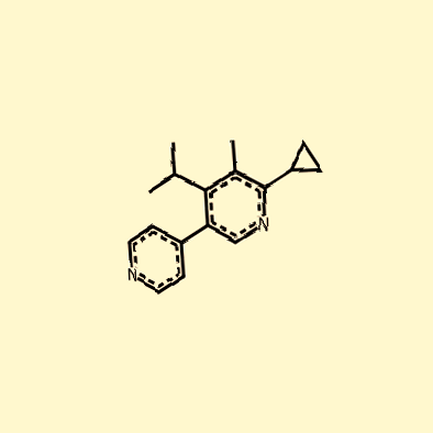 Cc1c(C2CC2)ncc(-c2ccncc2)c1C(C)C